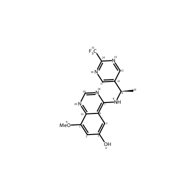 COc1cc(O)cc2c(N[C@H](C)c3cnc(C(F)(F)F)nc3)ncnc12